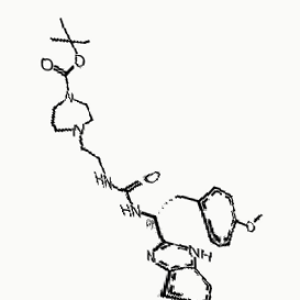 COc1ccc(C[C@@H](NC(=O)NCCN2CCN(C(=O)OC(C)(C)C)CC2)c2nc3ccccc3[nH]2)cc1